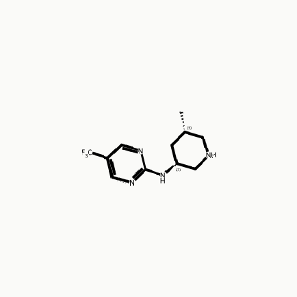 C[C@@H]1CNC[C@@H](Nc2ncc(C(F)(F)F)cn2)C1